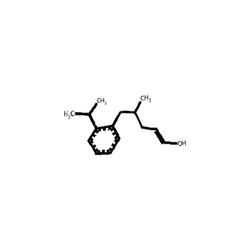 CC(CC=CO)Cc1ccccc1C(C)C